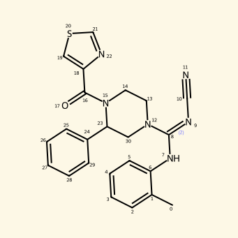 Cc1ccccc1N/C(=N/C#N)N1CCN(C(=O)c2cscn2)C(c2ccccc2)C1